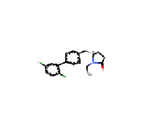 CC(C)(C)CN1C(=O)CC[C@H]1Cc1ccc(-c2cc(Cl)ccc2Cl)cc1